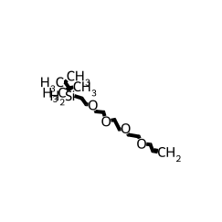 C=CCOCCOCCOCCOCC[SiH2]C(C)(C)C(C)C